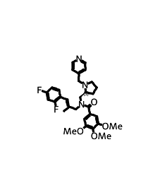 COc1cc(C(=O)N(CC(C)=Cc2ccc(F)cc2F)C[C@@H]2CCCN2Cc2ccncc2)cc(OC)c1OC